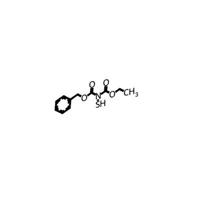 CCOC(=O)N(S)C(=O)OCc1ccccc1